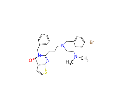 CN(C)CCN(CCCc1nc2sccc2c(=O)n1Cc1ccccc1)Cc1ccc(Br)cc1